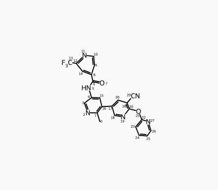 Cc1ncc(NC(=O)c2ccnc(C(F)(F)F)c2)cc1-c1cnc(Oc2ccccn2)c(C#N)c1